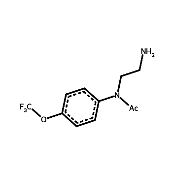 CC(=O)N(CCN)c1ccc(OC(F)(F)F)cc1